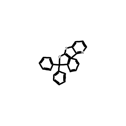 c1ccc(C(Oc2cc3ncccc3s2)(c2ccccc2)c2ccccc2)cc1